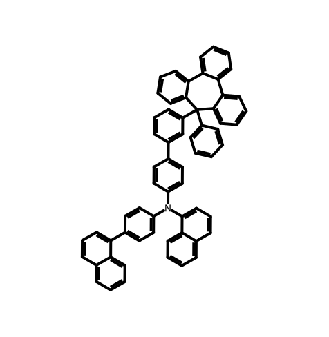 c1ccc(C2(c3cccc(-c4ccc(N(c5ccc(-c6cccc7ccccc67)cc5)c5cccc6ccccc56)cc4)c3)c3ccccc3-c3ccccc3-c3ccccc32)cc1